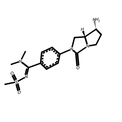 CN(C)C(=NS(C)(=O)=O)c1ccc(N2C[C@@H]3[C@H](N)CCN3C2=O)cc1